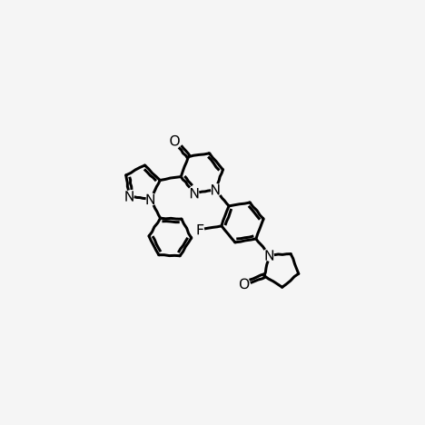 O=C1CCCN1c1ccc(-n2ccc(=O)c(-c3ccnn3-c3ccccc3)n2)c(F)c1